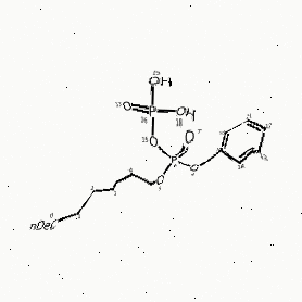 CCCCCCCCCCCCCCOP(=O)(Oc1ccccc1)OP(=O)(O)O